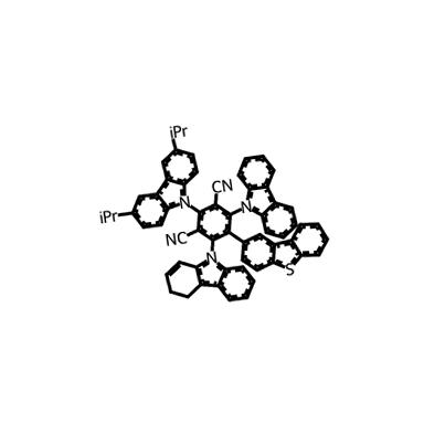 CC(C)c1ccc2c(c1)c1cc(C(C)C)ccc1n2-c1c(C#N)c(-n2c3c(c4ccccc42)CCC=C3)c(-c2ccc3sc4ccccc4c3c2)c(-n2c3ccccc3c3ccccc32)c1C#N